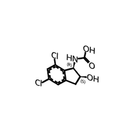 O=C(O)N[C@@H]1c2c(Cl)cc(Cl)cc2C[C@@H]1O